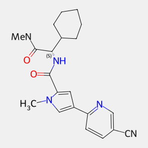 CNC(=O)[C@@H](NC(=O)c1cc(-c2ccc(C#N)cn2)cn1C)C1CCCCC1